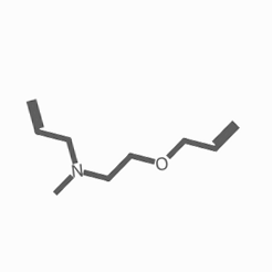 C=CCOCCN(C)CC=C